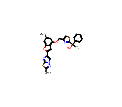 COc1cc(OCc2csc(C(O)(c3ccccc3)C(F)(F)F)n2)c2cc(-c3cn4nc(OC)sc4n3)oc2c1